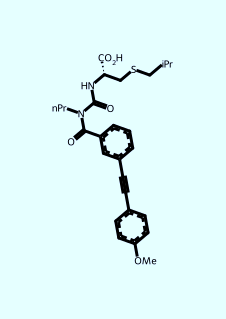 CCCN(C(=O)N[C@@H](CSCC(C)C)C(=O)O)C(=O)c1cccc(C#Cc2ccc(OC)cc2)c1